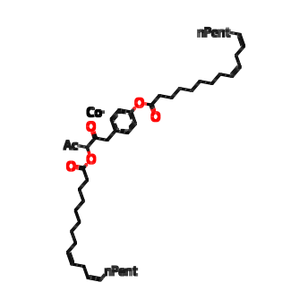 CCCCC/C=C\C/C=C\CCCCCCCC(=O)Oc1ccc(CC(=O)C(OC(=O)CCCCCCC/C=C\C/C=C\CCCCC)C(C)=O)cc1.[Co]